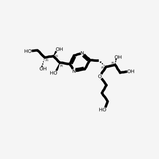 OCCCO[C@H](Cc1cnc([C@@H](O)[C@H](O)[C@H](O)CO)cn1)[C@H](O)CO